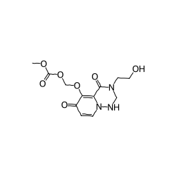 COC(=O)OCOc1c2n(ccc1=O)NCN(CCO)C2=O